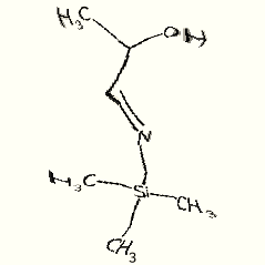 CC(O)C=N[Si](C)(C)C